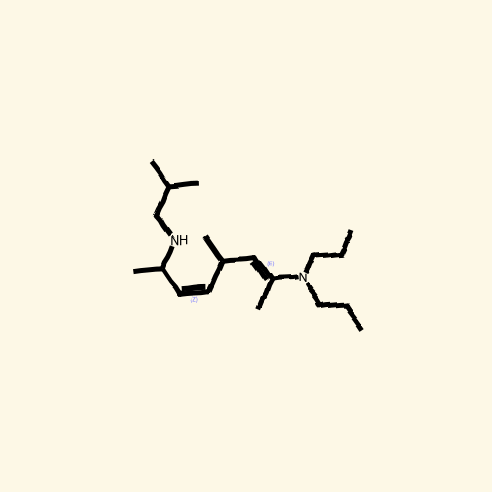 CCCN(CCC)/C(C)=C/C(C)/C=C\C(C)NCC(C)C